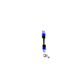 C.N#CC#N